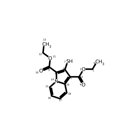 CCOC(=O)c1c(S)c(C(=O)OCC)n2ccccc12